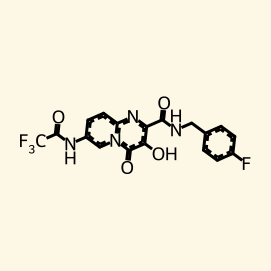 O=C(NCc1ccc(F)cc1)c1nc2ccc(NC(=O)C(F)(F)F)cn2c(=O)c1O